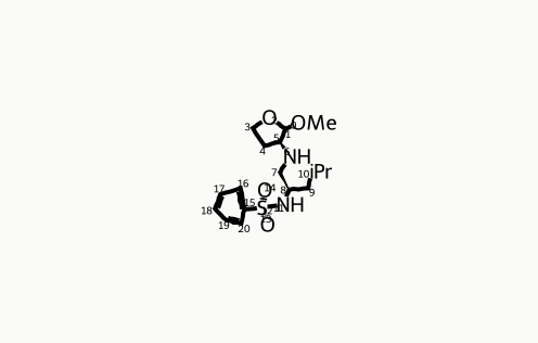 COC1OCC[C@@H]1NC[C@@H](CC(C)C)NS(=O)(=O)c1ccccc1